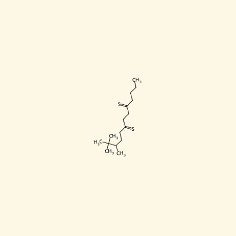 CCCCC(=S)CCC(=S)CCC(C)C(C)(C)C